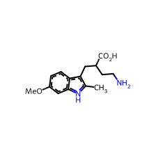 COc1ccc2c(CC(CCN)C(=O)O)c(C)[nH]c2c1